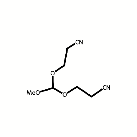 COC(OCCC#N)OCCC#N